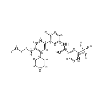 COCCNc1nnc(-c2cc(NC(=O)c3ccnc(C(F)(F)F)c3)ccc2C)cc1C1CCOCC1